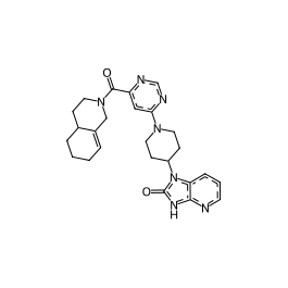 O=C(c1cc(N2CCC(n3c(=O)[nH]c4ncccc43)CC2)ncn1)N1CCC2CCCC=C2C1